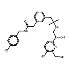 CC(C)(Cc1cccc(CC(=O)NCc2ccc(Cl)cc2)c1)NCC(O)c1ccc(O)c(CO)n1